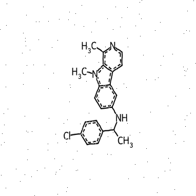 Cc1nccc2c3cc(NC(C)c4ccc(Cl)cc4)ccc3n(C)c12